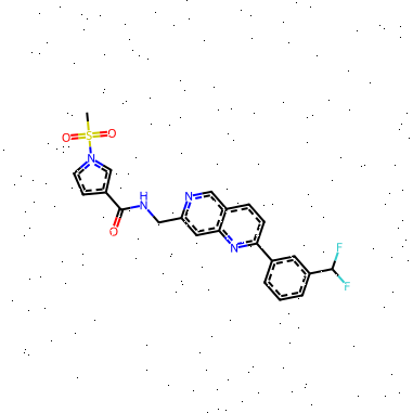 CS(=O)(=O)n1ccc(C(=O)NCc2cc3nc(-c4cccc(C(F)F)c4)ccc3cn2)c1